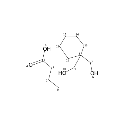 CCCC(=O)O.OCC1(CO)CCCCC1